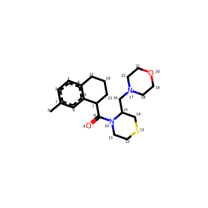 Cc1ccc2c(c1)C(C(=O)N1CCSCC1CN1CCOCC1)CCC2